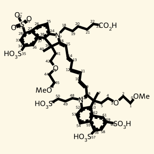 COCCOCCC1(C)C(/C=C/C=C/C=C/C=C2/N(CCCCCC(=O)O)c3ccc4c(S(=O)(=O)[O-])cc(S(=O)(=O)O)cc4c3C2(C)CCOCCOC)=[N+](CCCS(=O)(=O)O)c2ccc3c(S(=O)(=O)O)cc(S(=O)(=O)O)cc3c21